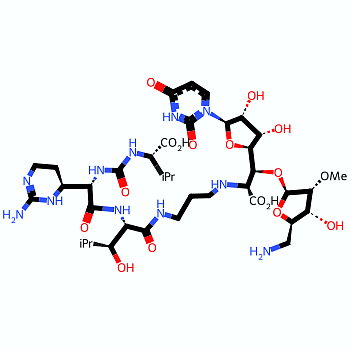 CO[C@H]1[C@H](O[C@H]([C@H]2O[C@@H](n3ccc(=O)[nH]c3=O)[C@H](O)[C@@H]2O)[C@H](NCCCNC(=O)[C@@H](NC(=O)[C@@H](NC(=O)N[C@H](C(=O)O)C(C)C)[C@@H]2CCN=C(N)N2)[C@@H](O)C(C)C)C(=O)O)O[C@H](CN)[C@H]1O